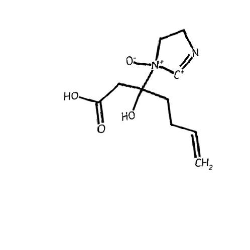 C=CCCC(O)(CC(=O)O)[N+]1([O-])[C+]=NCC1